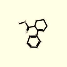 COC(=O)C1CCCC=C1c1ccccc1